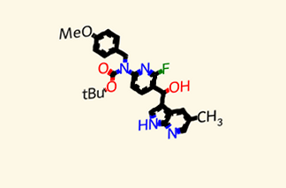 COc1ccc(CN(C(=O)OC(C)(C)C)c2ccc(C(O)c3c[nH]c4ncc(C)cc34)c(F)n2)cc1